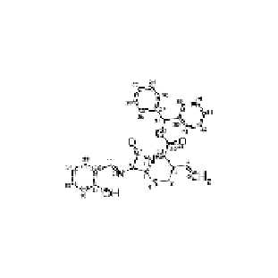 C=CC1CSC2=[N+](C(=O)C2N=Cc2ccccc2O)C1C(=O)OC(c1ccccc1)c1ccccc1